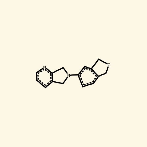 c1cnc2c(c1)CN(c1ccc3c(c1)COC3)C2